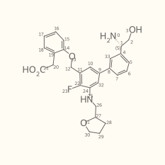 N[C@H](CO)c1cccc(-c2cc(COc3ccccc3CC(=O)O)c(F)c(NCC3CCCO3)c2)c1